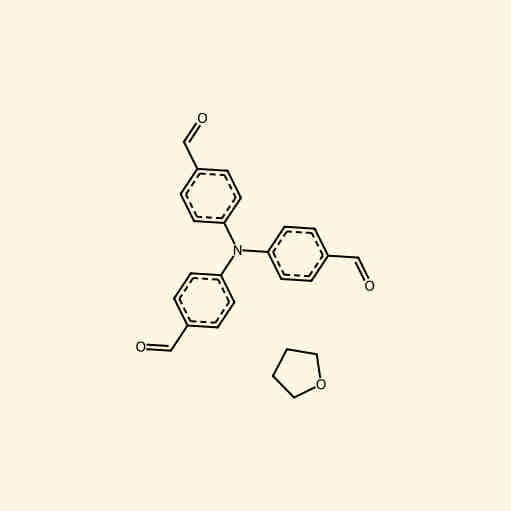 C1CCOC1.O=Cc1ccc(N(c2ccc(C=O)cc2)c2ccc(C=O)cc2)cc1